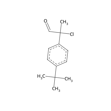 CC(C)(C)c1ccc(C(C)(Cl)C=O)cc1